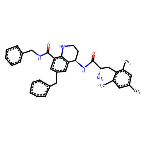 Cc1cc(C)c(C[C@H](N)C(=O)N[C@@H]2CCNc3c(C(=O)NCc4ccccc4)cc(Cc4ccccc4)cc32)c(C)c1